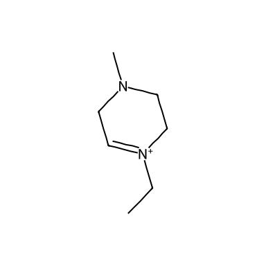 CC[N+]1=CCN(C)CC1